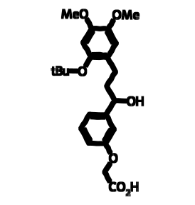 COc1cc(CCC(O)c2cccc(OCC(=O)O)c2)c(OC(C)(C)C)cc1OC